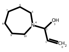 C=CC(O)N1CCCCCC1